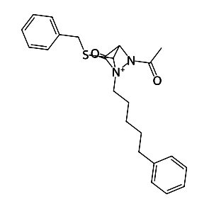 CC(=O)N1C2C(=O)[N+]1(CCCCCc1ccccc1)C2SCc1ccccc1